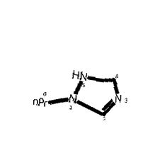 CCCN1C=NCN1